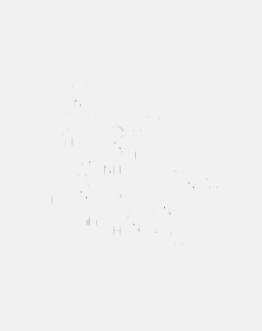 C/C(=C\[C@H](C(C)C)N(C)C(=O)C(NC(=O)[C@@H](N(C)C(=O)OC(C)(C)C)C(C)(C)c1cn(C)c2ccccc12)C(C)(C)C)C(=O)N[C@H](CC(=O)OC(C)(C)C)C(=O)NCCN1C(=O)C=CC1=O